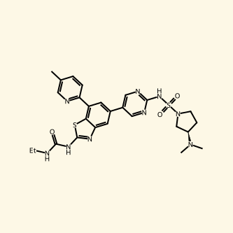 CCNC(=O)Nc1nc2cc(-c3cnc(NS(=O)(=O)N4CC[C@@H](N(C)C)C4)nc3)cc(-c3ccc(C)cn3)c2s1